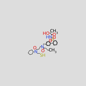 CCCC(=O)N(CCC(=O)N(CCS)C1CCCCC1)Cc1ccc(-c2ccccc2S(=O)(=O)NC(=O)C(C)O)cc1